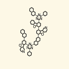 c1ccc(-c2nc(-c3ccc4ccc(-c5ccc(-c6ccc(-c7nc(-c8ccccc8)nc(-c8ccc9ccccc9c8)n7)c7c6oc6ccccc67)c6c5oc5ccncc56)cc4c3)nc(-c3cc(-c4ccc5ccccc5c4)cc4oc5ccncc5c34)n2)cc1